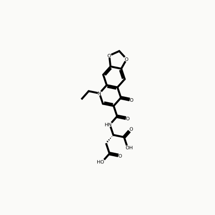 CCn1cc(C(=O)N[C@@H](CC(=O)O)C(=O)O)c(=O)c2cc3c(cc21)OCO3